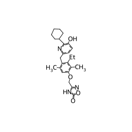 CCc1c(C)c(OCc2noc(=O)[nH]2)cc(C)c1Cc1ccc(O)c(C2CCCCC2)n1